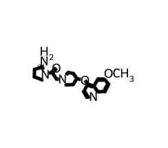 COc1ccc2nccc(OC3CCN(CC(=O)N4CCC[C@H]4N)CC3)c2c1